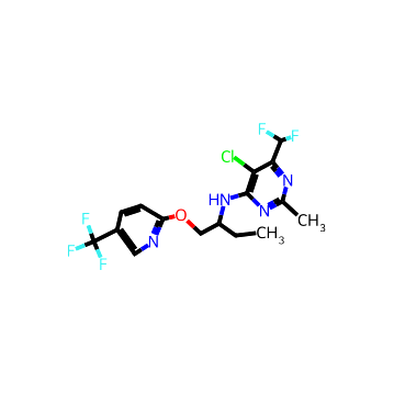 CCC(COc1ccc(C(F)(F)F)cn1)Nc1nc(C)nc(C(F)F)c1Cl